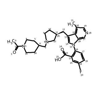 CC(=O)N1CCC(CN2CC[C@@H](Cc3cn(-c4ccc(F)cc4C(=O)O)c4cncc(C)c34)C2)CC1